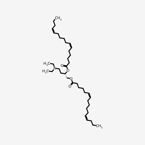 CCC/C=C\CCCC/C=C\CCCCC(=O)OC[C@H](CCN(CC)CC)OC(=O)CCCC/C=C\CCCC/C=C\CCC